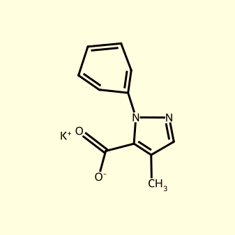 Cc1cnn(-c2ccccc2)c1C(=O)[O-].[K+]